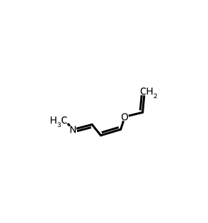 C=CO/C=C\C=N\C